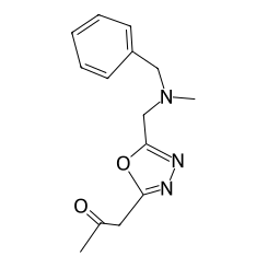 CC(=O)Cc1nnc(CN(C)Cc2ccccc2)o1